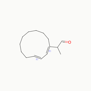 CC(C=O)/C1=C/C=C/CCCCCCCC1